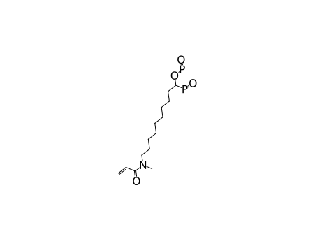 C=CC(=O)N(C)CCCCCCCCCC(OP=O)P=O